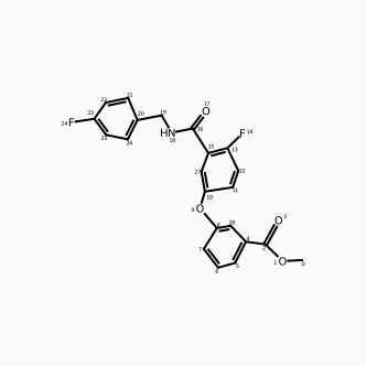 COC(=O)c1cccc(Oc2ccc(F)c(C(=O)NCc3ccc(F)cc3)c2)c1